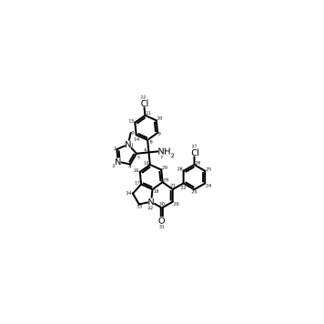 Cn1cncc1C(N)(c1ccc(Cl)cc1)c1cc2c3c(c1)c(-c1cccc(Cl)c1)cc(=O)n3CC2